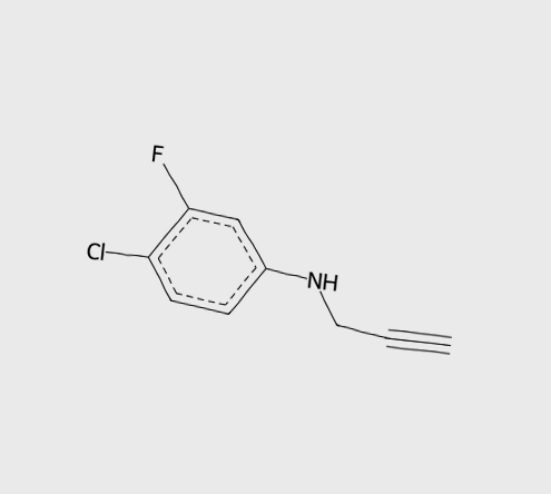 C#CCNc1ccc(Cl)c(F)c1